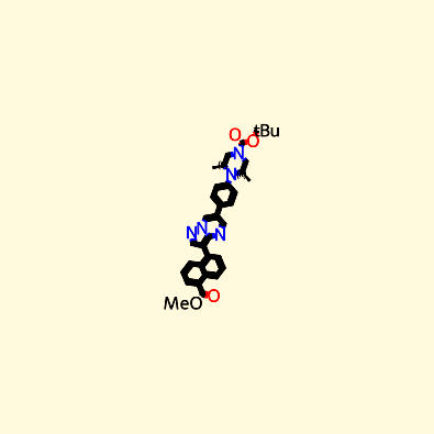 COC(=O)c1cccc2c(-c3cnn4cc(-c5ccc(N6[C@H](C)CN(C(=O)OC(C)(C)C)C[C@@H]6C)cc5)cnc34)cccc12